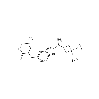 NC(c1cn2nc(CC3C[C@@H](C(F)(F)F)CNC3=O)ccc2n1)C1CC(C2CC2)(C2CC2)C1